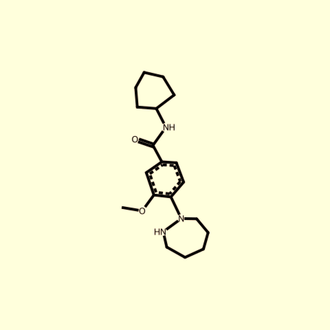 COc1cc(C(=O)NC2CCCCC2)ccc1N1CCCCCN1